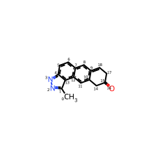 CC1=NN=c2ccc3cc4c(cc3c21)CC(=O)CC=4